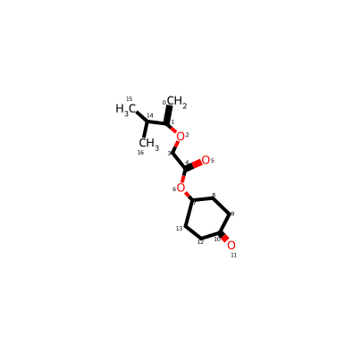 C=C(OCC(=O)OC1CCC(=O)CC1)C(C)C